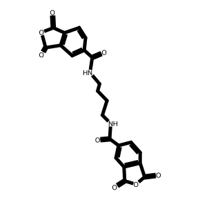 O=C(NCCCCNC(=O)c1ccc2c(c1)C(=O)OC2=O)c1ccc2c(c1)C(=O)OC2=O